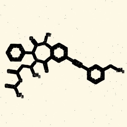 CC(C)N1C(=O)C(c2ccccc2)N(C(C)CC(=O)OC(=O)C(F)(F)F)C(=O)c2cc(C#Cc3cccc(CN)c3)ccc21